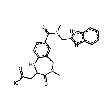 CN(Cc1nc2ccccc2[nH]1)C(=O)c1ccc2c(c1)CN(C)C(=O)C(CC(=O)O)N2